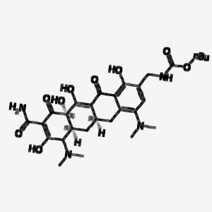 CCCCOC(=O)NCc1cc(N(C)C)c2c(c1O)C(=O)C1=C(O)[C@]3(O)C(=O)C(C(N)=O)=C(O)C(N(C)C)[C@@H]3C[C@@H]1C2